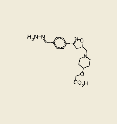 NN=Cc1ccc(C2=NOC(CN3CCC(OCC(=O)O)CC3)C2)cc1